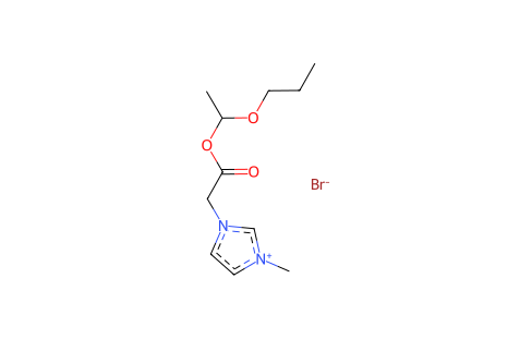 CCCOC(C)OC(=O)Cn1cc[n+](C)c1.[Br-]